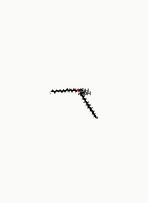 CCCCCCCCCCCCCCCCC(CO)OC(CO)CCCCCCCCCCCCCCCC